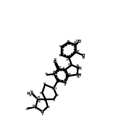 C[C@@H]1OCC2(CCN(c3nc4c(c(=O)n3C)C(c3cccc(Cl)c3Cl)NN4)CC2)[C@@H]1N